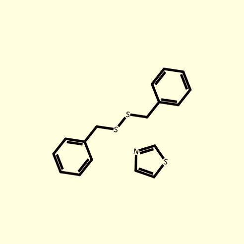 c1ccc(CSSCc2ccccc2)cc1.c1cscn1